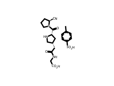 Cc1ccc(S(=O)(=O)O)cc1.N#C[C@@H]1CCCN1C(=O)[C@@H]1C[C@H](CC(=O)NCC(=O)O)CN1